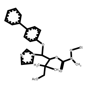 CCON(C)C(=O)OC(C(Oc1ccc(-c2ccccc2)cc1)n1ccnc1)C(C)(C)COC(C)=O